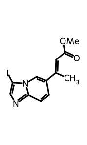 COC(=O)C=C(C)c1ccc2ncc(I)n2c1